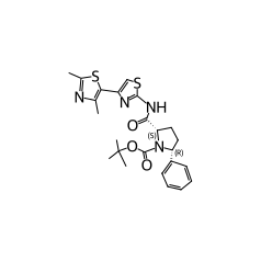 Cc1nc(C)c(-c2csc(NC(=O)[C@@H]3CC[C@H](c4ccccc4)N3C(=O)OC(C)(C)C)n2)s1